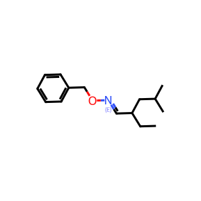 CCC(/C=N/OCc1ccccc1)CC(C)C